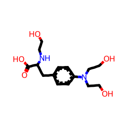 O=C(O)C(Cc1ccc(N(CCO)CCO)cc1)NCCO